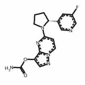 NC(=O)Oc1cnn2ccc(N3CCC[C@@H]3c3cncc(F)c3)nc12